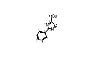 CC(C)(C)c1nc(-c2cc[c]cc2)no1